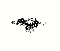 CCN1/C(=C/C=C(/C=C/C2=[N+](CC)c3ccc4ccc(S(=O)(=O)O)cc4c3C2(C)C)c2ccc(C(=O)O)cn2)C(C)(C)c2c1ccc1c(S(=O)(=O)O)cc(S(=O)(=O)O)cc21